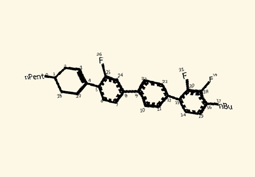 CCCCCC1CC=C(c2ccc(-c3ccc(-c4ccc(CCCC)c(F)c4F)cc3)cc2F)CC1